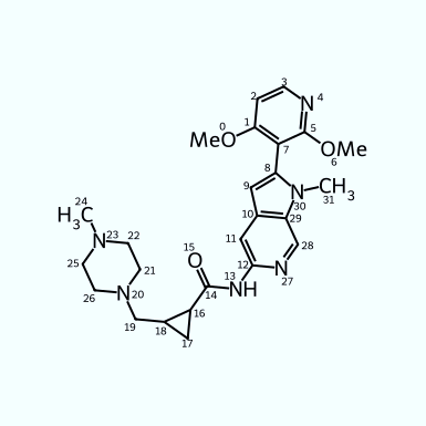 COc1ccnc(OC)c1-c1cc2cc(NC(=O)C3CC3CN3CCN(C)CC3)ncc2n1C